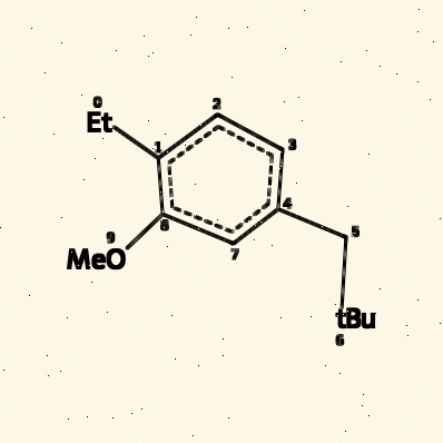 CCc1ccc(CC(C)(C)C)cc1OC